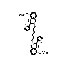 COc1cccc(CN(CCCCCCN(Cc2cccc(OC)c2)C(=O)c2cccs2)C(=O)c2cccs2)c1